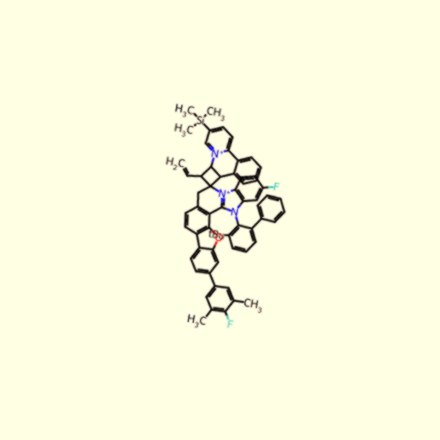 C=CC1C2C(c3ccccc3-c3ccc([Si](C)(C)C)c[n+]32)C12Cc1ccc3c(oc4cc(-c5cc(C)c(F)c(C)c5)ccc43)c1-c1n(-c3c(-c4ccccc4)cccc3C(C)(C)C)c3cc(F)ccc3[n+]12